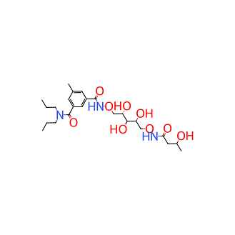 CCCN(CCC)C(=O)c1cc(C)cc(C(=O)NOC[C@H](O)[C@H](O)C(O)CONC(=O)CC(C)O)c1